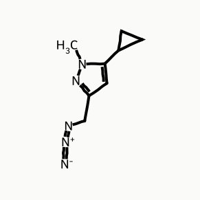 Cn1nc(CN=[N+]=[N-])cc1C1CC1